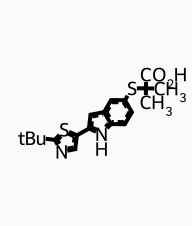 CC(C)(Sc1ccc2[nH]c(-c3cnc(C(C)(C)C)s3)cc2c1)C(=O)O